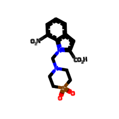 O=C(O)c1cc2cccc([N+](=O)[O-])c2n1CN1CCS(=O)(=O)CC1